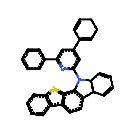 C1=CC2c3ccc4c(sc5ccccc54)c3N(c3cc(C4=CCCC=C4)cc(-c4ccccc4)n3)C2C=C1